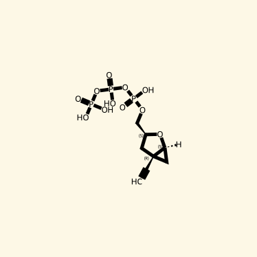 C#C[C@@]12C[C@@H](COP(=O)(O)OP(=O)(O)OP(=O)(O)O)O[C@H]1C2